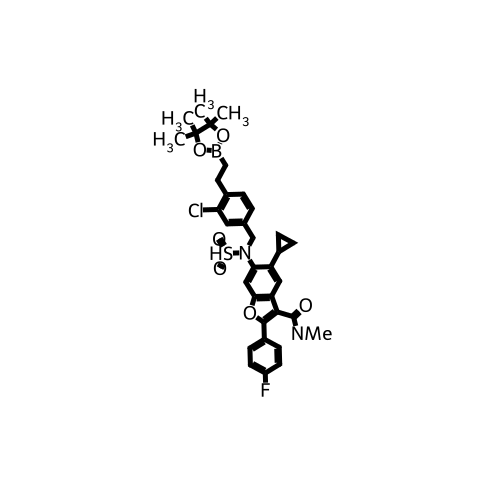 CNC(=O)c1c(-c2ccc(F)cc2)oc2cc(N(Cc3ccc(CCB4OC(C)(C)C(C)(C)O4)c(Cl)c3)[SH](=O)=O)c(C3CC3)cc12